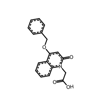 O=C(O)Cn1c(=O)cc(OCc2ccccc2)c2ccccc21